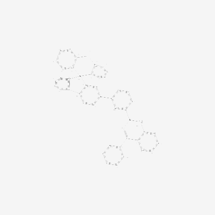 c1ccc(C2=NC(c3cccc(-c4ccc5c(c4)C4(c6ccccc6Oc6ccccc64)c4ccccc4-5)c3)Nc3ccccc32)cc1